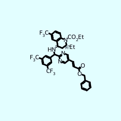 CCOC(=O)N1c2ccc(C(F)(F)F)cc2[C@@H](NC(c2cc(C(F)(F)F)cc(C(F)(F)F)c2)c2ncc(C=CC(=O)OCc3ccccc3)cn2)C[C@H]1CC